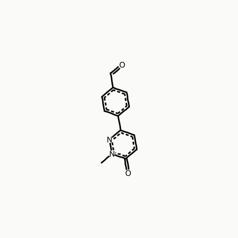 Cn1nc(-c2ccc(C=O)cc2)ccc1=O